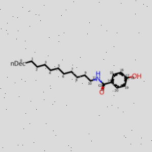 CCCCCCCCCCCCCCCCCCCCNC(=O)c1ccc(O)cc1